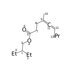 CCC(CC)COC(=O)CCC(C)=C=CC(C)C